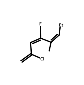 C=C(Cl)/C=C(F)\C(C)=C/CC